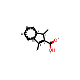 CC1=C(C(=O)O)C(C)c2ccccc21